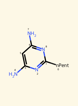 CCCCCc1nc(N)cc(N)n1